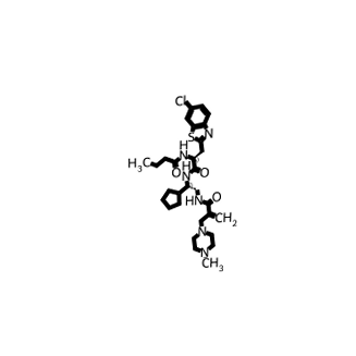 C=C(CN1CCN(C)CC1)C(=O)NC[C@@H](NC(=O)[C@H](Cc1nc2ccc(Cl)cc2s1)NC(=O)CCC)C1CCCC1